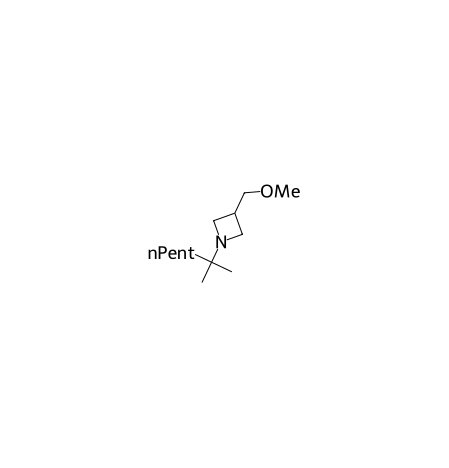 CCCCCC(C)(C)N1CC(COC)C1